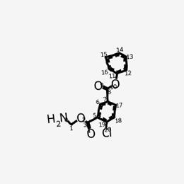 NCOC(=O)c1cc(C(=O)Oc2ccccc2)ccc1Cl